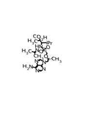 CC(C)=NO[P@](=O)(CO[C@H](C)Cn1cnc2c(N)ncnc21)NC(C(C)C)C(C)C(=O)O